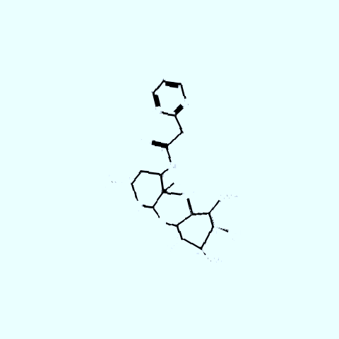 CNC1C2OC3(O)C(NC(=O)Cc4ncccn4)C[C@@H](C)OC3OC2[C@@H](O)[C@H](NC)[C@@H]1O